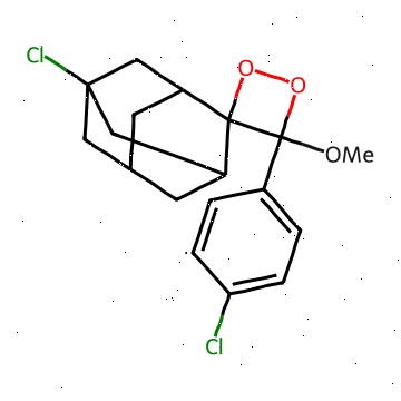 COC1(c2c[c]c(Cl)cc2)OOC12C1CC3CC2CC(Cl)(C3)C1